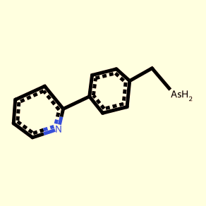 [AsH2]Cc1ccc(-c2ccccn2)cc1